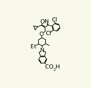 CCC1CC(OCc2c(-c3c(Cl)cccc3Cl)noc2C2CC2)CC(C)C1N1Cc2ccc(C(=O)O)cc2C1